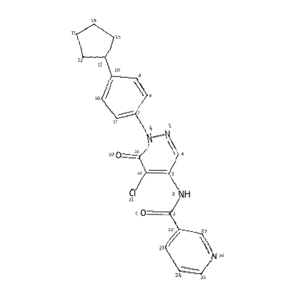 O=C(Nc1cnn(-c2ccc(C3CCCC3)cc2)c(=O)c1Cl)c1cccnc1